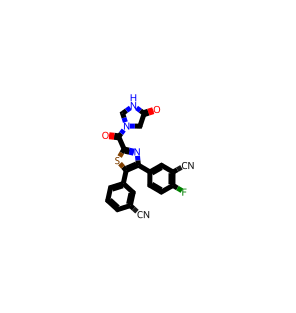 N#Cc1cccc(-c2sc(C(=O)N3CNC(=O)C3)nc2-c2ccc(F)c(C#N)c2)c1